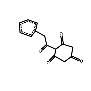 O=C1CC(=O)C(C(=O)Cc2ccccc2)C(=O)C1